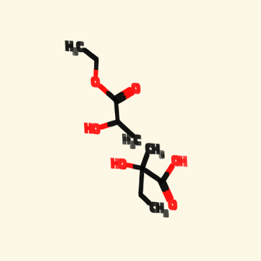 CCC(C)(O)C(=O)O.CCOC(=O)C(C)O